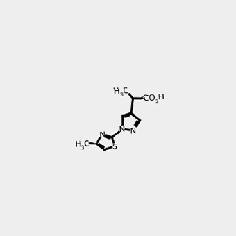 Cc1csc(-n2cc(C(C)C(=O)O)cn2)n1